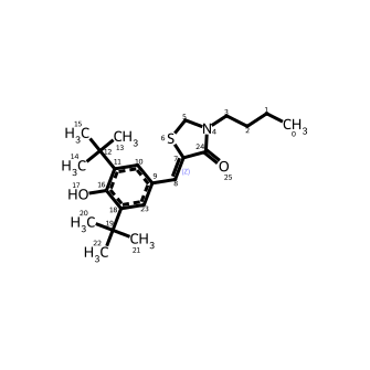 CCCCN1CS/C(=C\c2cc(C(C)(C)C)c(O)c(C(C)(C)C)c2)C1=O